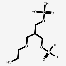 O=P(O)(O)OCC(COCCO)COP(=O)(O)O